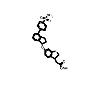 COC(=O)CC1COc2cc(O[C@@H]3CCc4c(-c5ccc(S(N)(=O)=O)cc5)cccc43)ccc21